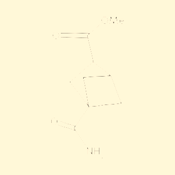 COC(=O)C1CC2(C(N)=O)CC1C2